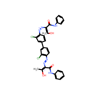 C/C(O)=C(\N=Nc1ccc(-c2ccc(/N=N\C(C(=O)Nc3ccccc3)=C(/C)O)c(Cl)c2)cc1Cl)C(=O)Nc1ccccc1